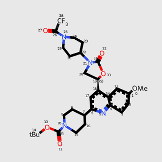 COc1ccc2nc(C3CCN(C(=O)OC(C)(C)C)CC3)cc([C@H]3CN(C4CCN(C(=O)C(F)(F)F)CC4)C(=O)O3)c2c1